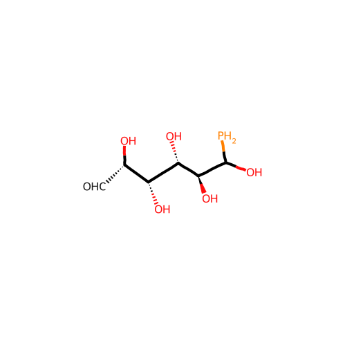 O=C[C@H](O)[C@@H](O)[C@H](O)[C@H](O)C(O)P